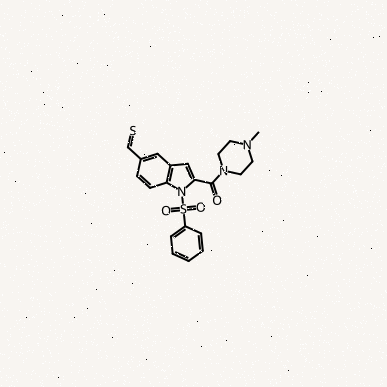 CN1CCN(C(=O)c2cc3cc(C=S)ccc3n2S(=O)(=O)c2ccccc2)CC1